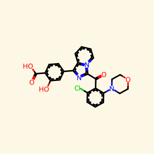 O=C(O)c1ccc(-c2nc(C(=O)c3c(Cl)cccc3N3CCOCC3)n3ccccc23)cc1O